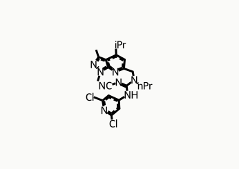 CCCN(Cc1cc(C(C)C)c2c(C)nn(C)c2n1)/C(=N/C#N)Nc1cc(Cl)nc(Cl)c1